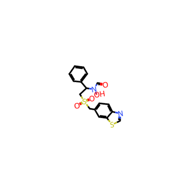 O=CN(O)C(CS(=O)(=O)Cc1ccc2ncsc2c1)c1ccccc1